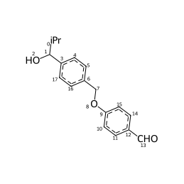 CC(C)C(O)c1ccc(COc2ccc(C=O)cc2)cc1